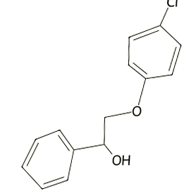 OC(COc1ccc(Cl)cc1)c1ccccc1